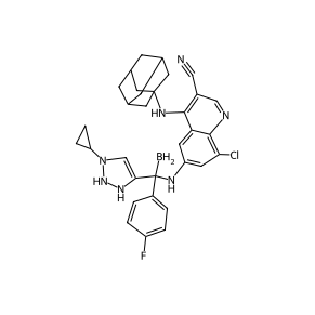 BC(Nc1cc(Cl)c2ncc(C#N)c(NC34CC5CC(CC(C5)C3)C4)c2c1)(C1=CN(C2CC2)NN1)c1ccc(F)cc1